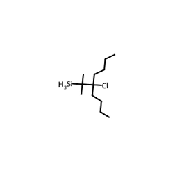 CCCCC(Cl)(CCCC)C(C)(C)[SiH3]